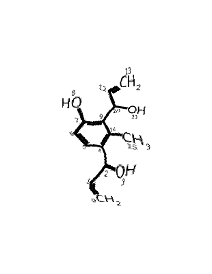 C=CC(O)c1ccc(O)c(C(O)C=C)c1C